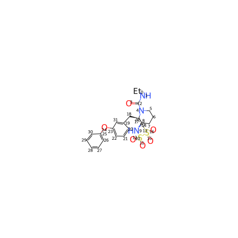 CCNC(=O)N1CCC[C@@H](NS(=O)(=O)S(C)(=O)=O)[C@H]1Cc1cccc(Oc2ccccc2)c1